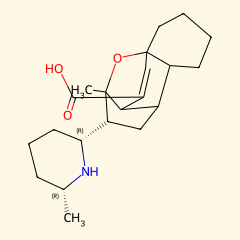 C[C@@H]1CCC[C@H](C2CC3C4CCCCC45C=C(C(=O)O)C3C2(C)O5)N1